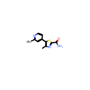 Cc1nc(C(N)=O)sc1-c1ccnc(C(C)(C)C)c1